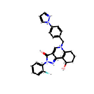 O=c1c2cn(Cc3ccc(-n4cccn4)cc3)c3c(c-2nn1-c1ccccc1F)C(O)CCC3